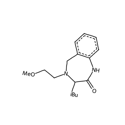 CCC(C)C1C(=O)Nc2ccccc2CN1CCOC